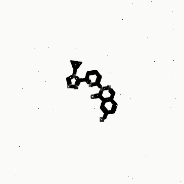 O=c1c2cc(Br)ccc2cnn1-c1cccc(-c2nncn2C2CC2)n1